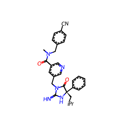 CC(C)C[C@@]1(c2ccccc2)NC(=N)N(Cc2cncc(C(=O)N(C)Cc3ccc(C#N)cc3)c2)C1=O